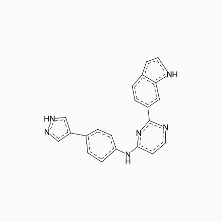 c1cc(Nc2ccc(-c3cn[nH]c3)cc2)nc(-c2ccc3cc[nH]c3c2)n1